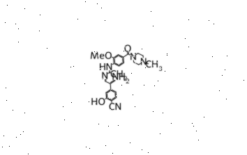 C=C(/N=C\C(=C/N)c1ccc(C#N)c(O)c1)Nc1ccc(C(=O)N2CCN(C)CC2)cc1OC